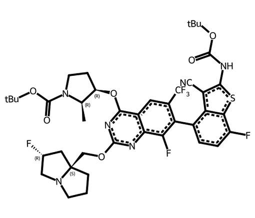 C[C@@H]1[C@H](Oc2nc(OC[C@@]34CCCN3C[C@H](F)C4)nc3c(F)c(-c4ccc(F)c5sc(NC(=O)OC(C)(C)C)c(C#N)c45)c(C(F)(F)F)cc23)CCN1C(=O)OC(C)(C)C